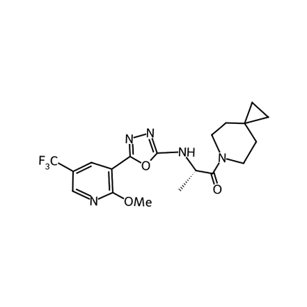 COc1ncc(C(F)(F)F)cc1-c1nnc(N[C@@H](C)C(=O)N2CCC3(CC2)CC3)o1